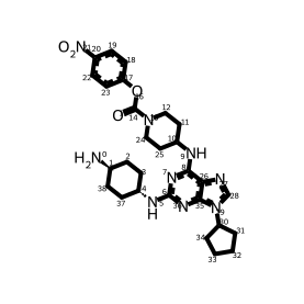 N[C@H]1CC[C@H](Nc2nc(NC3CCN(C(=O)Oc4ccc([N+](=O)[O-])cc4)CC3)c3ncn(C4CCCC4)c3n2)CC1